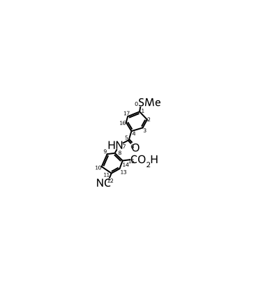 CSc1ccc(C(=O)Nc2ccc(C#N)cc2C(=O)O)cc1